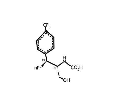 CCC[C@@H](c1ccc(C(F)(F)F)cc1)[C@@H](CO)NC(=O)O